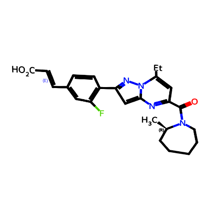 CCc1cc(C(=O)N2CCCCC[C@H]2C)nc2cc(-c3ccc(/C=C/C(=O)O)cc3F)nn12